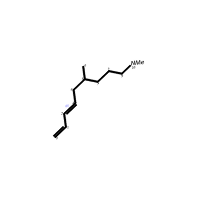 C=C/C=C/CC(C)CCCNC